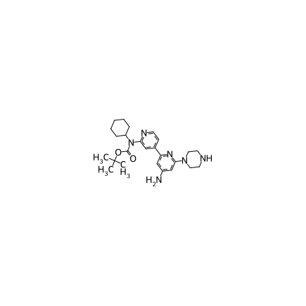 CC(C)(C)OC(=O)N(c1cc(-c2cc(N)cc(N3CCNCC3)n2)ccn1)C1CCCCC1